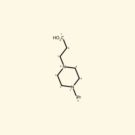 CC(C)N1CCN(CCC(=O)O)CC1